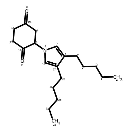 CCCCCc1cn(C2CC(=O)CCC2=O)cc1CCCCC